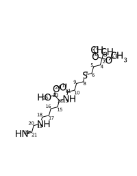 COC(C)(CCCSCCCC(=O)NC(CCCCNCC=N)C(=O)O)OC